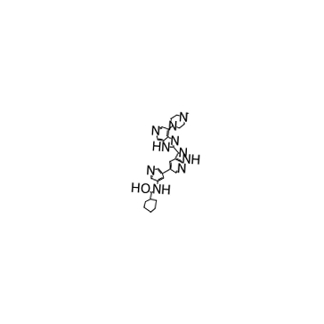 CN1CCN(c2cncc3[nH]c(-c4n[nH]c5ncc(-c6cncc(NC(O)C7CCCCC7)c6)cc45)nc23)CC1